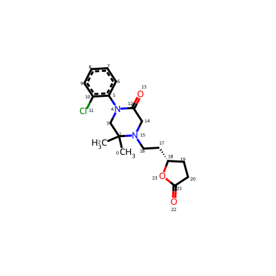 CC1(C)CN(c2ccccc2Cl)C(=O)CN1CC[C@@H]1CCC(=O)O1